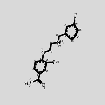 CC(=O)c1ccc(OCCNCc2cccc(F)c2)c(F)c1